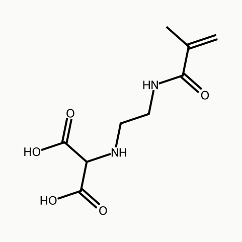 C=C(C)C(=O)NCCNC(C(=O)O)C(=O)O